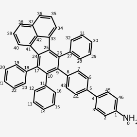 Nc1ccc(-c2ccc(-c3c(-c4ccccc4)c(-c4ccccc4)c4c(c3-c3ccccc3)-c3cccc5cccc-4c35)cc2)cc1